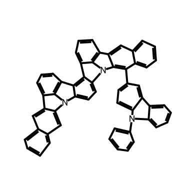 c1ccc(-n2c3ccccc3c3cc(-c4c5ccccc5cc5c6cccc7c8c9c%10cccc%11c%12cc%13ccccc%13cc%12n(c9ccc8n(c45)c67)c%11%10)ccc32)cc1